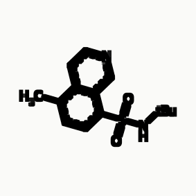 Cc1ccc(S(=O)(=O)NC(C)(C)C)c2cnccc12